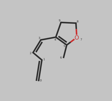 C=C/C=C\C1=C(C)OCC1